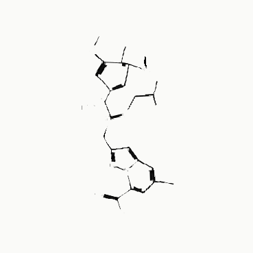 COc1cc([C@@H](O)[C@H](Cc2cc3cc(C)cc(C(=O)O)n3n2)OCC(C)C)cc(OC)c1C